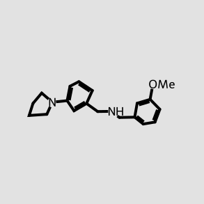 COc1cccc(CNCc2cccc(N3CCCC3)c2)c1